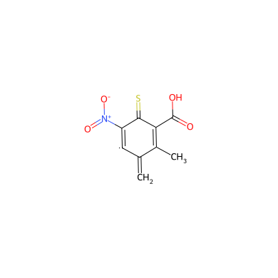 C=C1[C]=C([N+](=O)[O-])C(=S)C(C(=O)O)=C1C